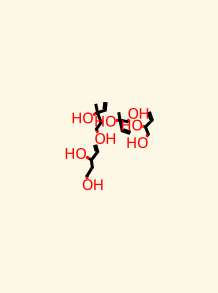 C=CC(C)(O)CCO.C=CC(C)(O)CO.C=CC(O)CCO.C=CC(O)CO